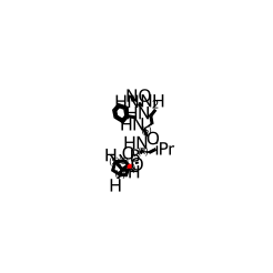 CC(C)C[C@H](NC(=O)[C@H](CC(C)NC(=N)N[N+](=O)[O-])NCc1ccccc1)B1O[C@@H]2C[C@@H]3C[C@@H](C3(C)C)[C@]2(C)O1